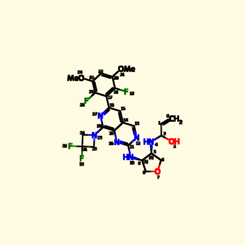 C=CC(O)N[C@H]1COC[C@H]1Nc1ncc2cc(-c3c(F)c(OC)cc(OC)c3F)nc(N3CC(F)(F)C3)c2n1